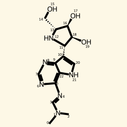 CN(C)/C=N/c1ncnc2c([C@@H]3N[C@H](CO)[C@@H](O)[C@H]3O)c[nH]c12